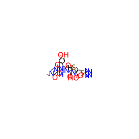 CCN1CCN(C(=O)NC(C(=O)NC2C(=O)N3C(C(=O)O)=C(CSc4nnnn4C)CS[C@@H]23)c2ccc(O)cc2)C(=O)C1=O